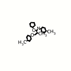 CC(=COc1ccc(C)cc1)C(=Nc1ccc(C)cc1)Oc1ccccc1